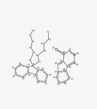 CCCCCCC1(CCCCCC)c2ccccc2-c2ccccc21.O=C1C=NN=C2C1=Cc1ccccc12